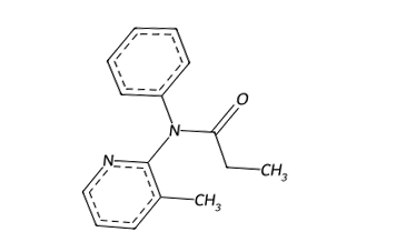 CCC(=O)N(c1ccccc1)c1ncccc1C